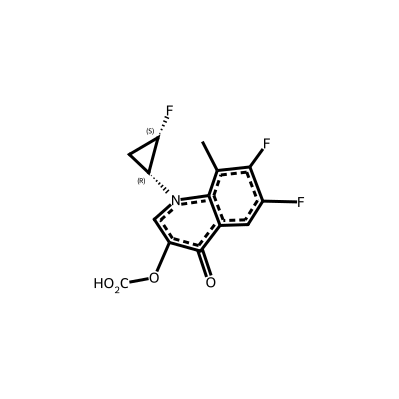 Cc1c(F)c(F)cc2c(=O)c(OC(=O)O)cn([C@@H]3C[C@@H]3F)c12